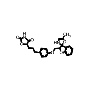 CC1=CNC(c2ccccc2)(C(O)COc2ccc(CCCC3OC(=O)NC3=O)cc2)O1